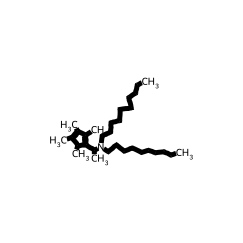 CCCCCCCCCCN(CCCCCCCCCC)C(C)C1=C(C)C(C)=C(C)C1C